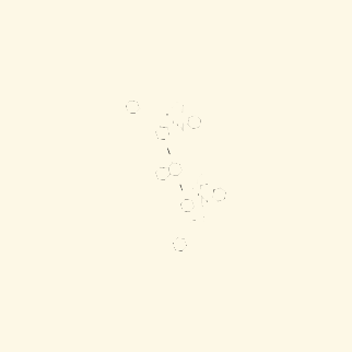 O=C(OCc1ccccc1)c1ccc(C#Cc2ccc(C#Cc3ccc(C(=O)OCc4ccccc4)c4c3C(=O)N(c3ccccc3C3=CC=CC3)C4=O)c3ccccc23)c2c1C(=O)N(c1ccccc1C1=CC=CC1)C2=O